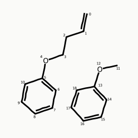 C=CCCOc1ccccc1.COc1ccccc1